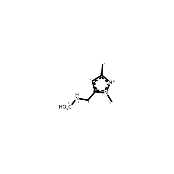 Cc1cc(CNC(=O)O)n(C)n1